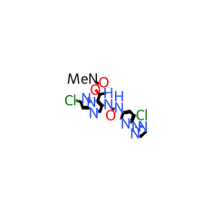 CNC(=O)OC(C)c1c(NC(=O)Nc2cnc(-n3nccn3)c(Cl)c2)cnc2cc(Cl)nn12